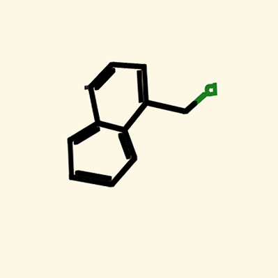 ClCc1cc[c]c2ccccc12